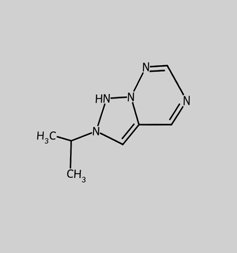 CC(C)N1C=C2C=NC=NN2N1